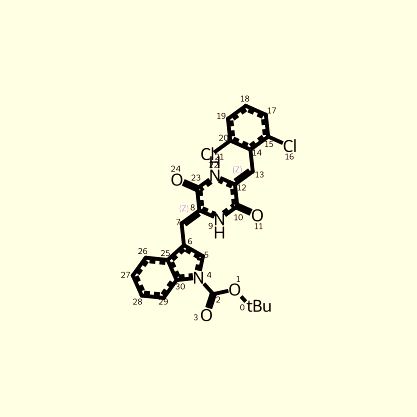 CC(C)(C)OC(=O)n1cc(/C=c2\[nH]c(=O)/c(=C/c3c(Cl)cccc3Cl)[nH]c2=O)c2ccccc21